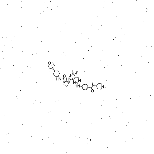 CN1CCC(N(C)C(=O)c2ccc(Nc3ncc(C(F)(F)F)c(N[C@@H]4CCC[C@@H]4C(=O)NC4CCC(N5CCOCC5)CC4)n3)cc2)CC1